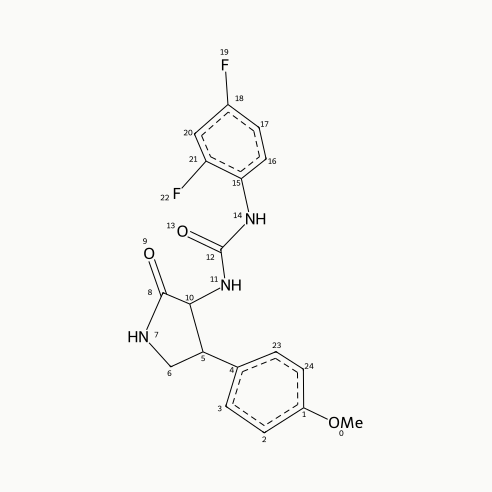 COc1ccc(C2CNC(=O)C2NC(=O)Nc2ccc(F)cc2F)cc1